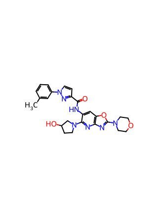 Cc1cccc(-n2ccc(C(=O)Nc3cc4oc(N5CCOCC5)nc4nc3N3CCC(O)C3)n2)c1